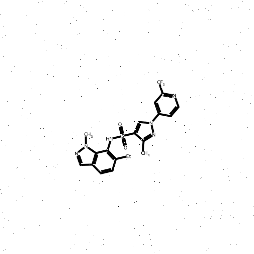 CCc1ccc2cnn(C)c2c1NS(=O)(=O)c1cn(-c2ccnc(C(F)(F)F)c2)nc1C